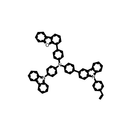 C=Cc1ccc(-n2c3ccccc3c3cc(-c4ccc(N(c5ccc(-c6cccc7c6oc6ccccc67)cc5)c5ccc(-n6c7ccccc7c7ccccc76)cc5)cc4)ccc32)cc1